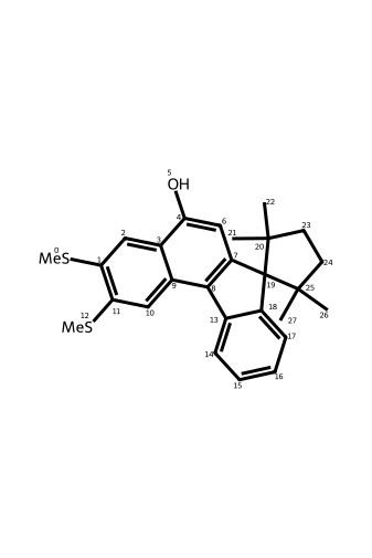 CSc1cc2c(O)cc3c(c2cc1SC)-c1ccccc1C31C(C)(C)CCC1(C)C